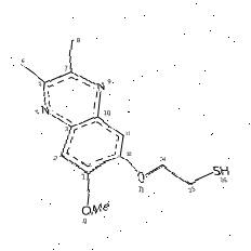 COc1cc2nc(C)c(C)nc2cc1OCCS